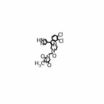 CN1C(=O)CN(CC(=O)N2CCn3c(c(-c4cn[nH]c4)c4ccc(Cl)c(Cl)c43)C2)C1=O